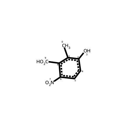 Cc1c(O)ccc([N+](=O)[O-])c1C(=O)O